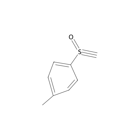 C#S(=O)c1ccc(C)cc1